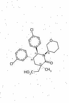 C[C@]1(CC(=O)O)C[C@H](c2cccc(Cl)c2)[C@@H](c2ccc(Cl)cc2)N([C@@H]2CCCOC2)C1=O